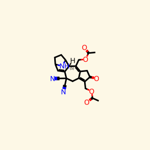 CC(=O)OCC1=C2CC(C#N)(C#N)C3=CC4CCC(N4)[C@@H]3C(COC(C)=O)=C2CC1=O